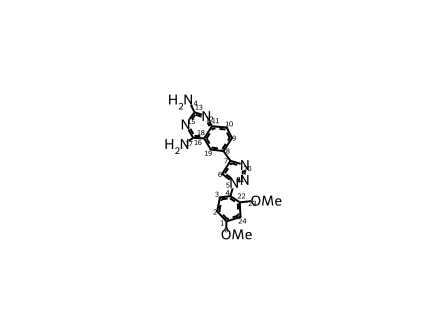 COc1ccc(-n2cc(-c3ccc4nc(N)nc(N)c4c3)nn2)c(OC)c1